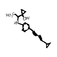 O=C(O)C(Nc1ccc(C#CC#CC2CC2)cc1)C1(O)CC1